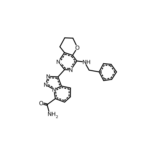 NC(=O)c1cccc2c(-c3nc4c(c(NCc5ccccc5)n3)OCCC4)nnn12